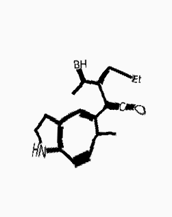 B=C(C)/C(=C/CC)C(=C=O)C1=CC2=C(C#CC1C)NCC2